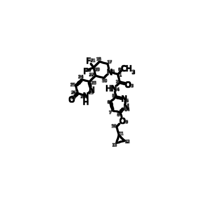 CC(C(=O)Nc1ccc(OCC2CC2)nn1)N1CCC(F)(F)C(c2ccc(=O)[nH]n2)C1